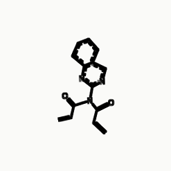 C=CC(=O)N(C(=O)C=C)c1ncc2ccccc2n1